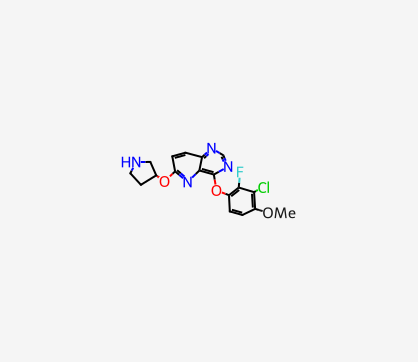 COc1ccc(Oc2ncnc3ccc(O[C@H]4CCNC4)nc23)c(F)c1Cl